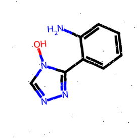 Nc1ccccc1-c1nncn1O